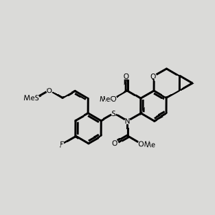 COC(=O)c1c(N(Sc2ccc(F)cc2/C=C\COSC)C(=O)OC)ccc2c1OCC1CC21